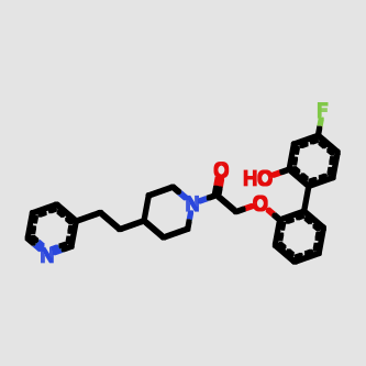 O=C(COc1ccccc1-c1ccc(F)cc1O)N1CCC(CCc2cccnc2)CC1